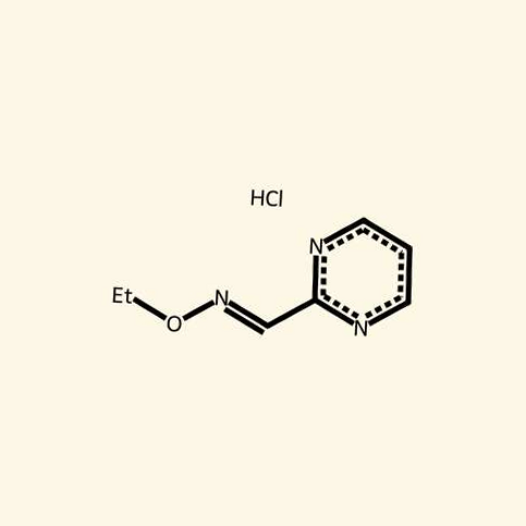 CCON=Cc1ncccn1.Cl